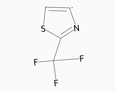 FC(F)(F)c1n[c]cs1